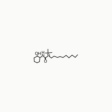 CCCCCCCCCCN(C(=O)NC1CCCCC1O)C(C)(C)C